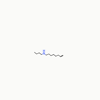 C=CCCCCCCNCCCC